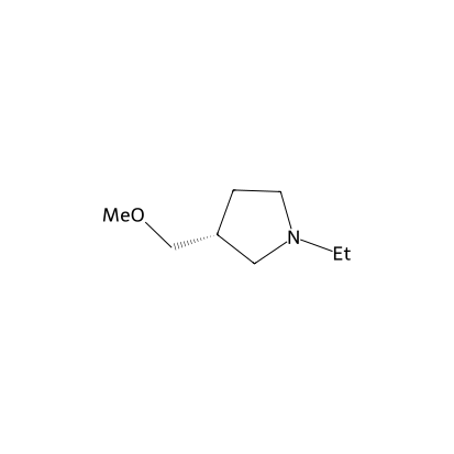 CCN1CC[C@@H](COC)C1